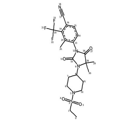 CCS(=O)(=O)N1CCC(N2C(=O)N(c3ccc(C#N)c(C(F)(F)F)c3C)C(=O)C2(C)C)CC1